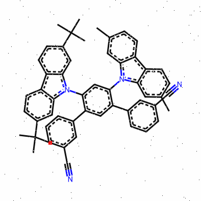 Cc1ccc2c3ccc(C)cc3n(-c3cc(-n4c5cc(C(C)(C)C)ccc5c5ccc(C(C)(C)C)cc54)c(-c4cccc(C#N)c4)cc3-c3cccc(C#N)c3)c2c1